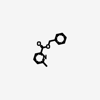 Cc1cccc(C(=O)OCc2ccccc2)n1